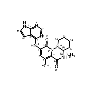 Cc1cc(Nc2ncnc3[nH]ccc23)c(=O)n2c1C(=O)N[C@]1(C)CCCCN21